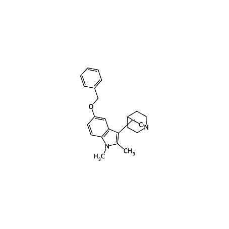 Cc1c([C]2[CH]N3CCC2CC3)c2cc(OCc3ccccc3)ccc2n1C